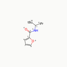 CC(C)C(NC(=O)c1ccco1)C(C)(C)C